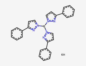 [KH].c1ccc(-c2ccn(B(n3ccc(-c4ccccc4)n3)n3ccc(-c4ccccc4)n3)n2)cc1